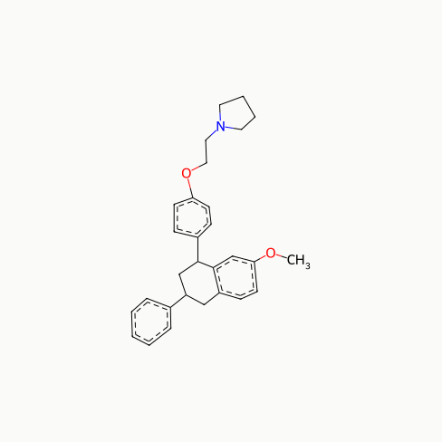 COc1ccc2c(c1)C(c1ccc(OCCN3CCCC3)cc1)CC(c1ccccc1)C2